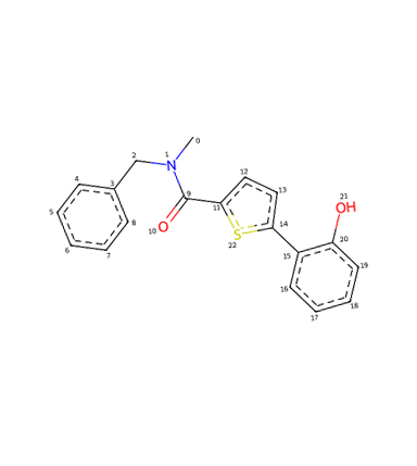 CN(Cc1ccccc1)C(=O)c1ccc(-c2ccccc2O)s1